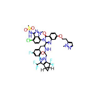 Cn1nccc1CCOc1ccc2c(=O)n(-c3ccc(Cl)c4c(NS(C)(=O)=O)nn(C)c34)c([C@H](Cc3cc(F)cc(F)c3)NC(=O)Cn3nc(C(F)F)c4c3C(F)(F)[C@@H]3C[C@H]43)nc2c1